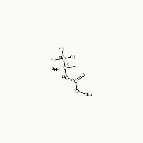 [2H][12C]([2H])([2H])[13C@@]([2H])(C)[13CH2][13C](=O)OC(C)(C)C